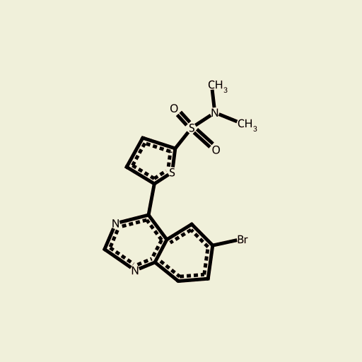 CN(C)S(=O)(=O)c1ccc(-c2ncnc3ccc(Br)cc23)s1